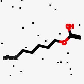 C=C(O)OCCCCCCCCCC